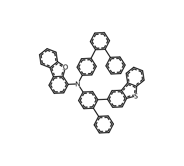 c1ccc(-c2ccccc2-c2ccc(N(c3ccc(-c4ccccc4)c(-c4ccc5sc6ccccc6c5c4)c3)c3cccc4c3oc3ccccc34)cc2)cc1